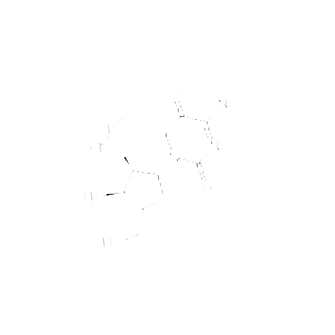 NC1=NC(=O)N([C@@H]2O[C@H](CO)[C@@H](O)[C@H]2O)CC1=[Se].[Cl][Pt][Cl]